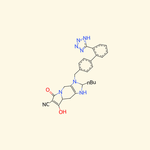 CCCCC1NC2=C(CN3C(=O)C(C#N)=C(O)C3C2)N1Cc1ccc(-c2ccccc2-c2nnn[nH]2)cc1